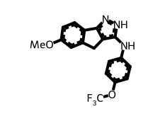 COc1ccc2c(c1)Cc1c-2n[nH]c1Nc1ccc(OC(F)(F)F)cc1